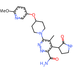 COc1ccc(OC2CCN(c3nnc(C(N)=O)c(C4CCNC4=O)c3C)CC2)cn1